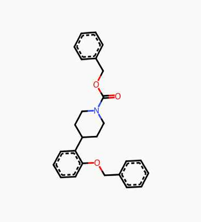 O=C(OCc1ccccc1)N1CCC(c2ccccc2OCc2ccccc2)CC1